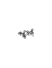 CC1(C)c2cc(-c3cccc(-c4cc(-c5nc6ccccc6s5)cc(-c5nc6ccccc6s5)c4)c3)ccc2-c2cc3c(cc21)c1ccccc1n3-c1ccccc1